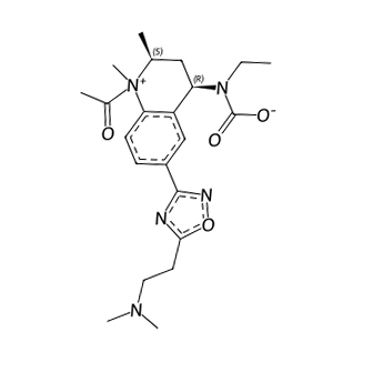 CCN(C(=O)[O-])[C@@H]1C[C@H](C)[N+](C)(C(C)=O)c2ccc(-c3noc(CCN(C)C)n3)cc21